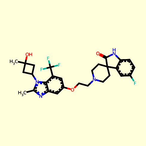 Cc1nc2cc(OCCN3CCC4(CC3)C(=O)Nc3ccc(F)cc34)cc(C(F)(F)F)c2n1C1CC(C)(O)C1